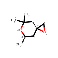 CC1(C)C[C@@]2(CO2)C[C@@H](C=O)O1